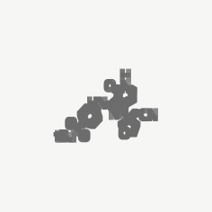 CC(C)(C)S(=O)(=O)c1ccc(Nc2nn(C3(CC#N)CCOC3)c3cc[nH]c(=O)c23)cc1